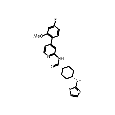 COc1cc(F)ccc1-c1ccnc(NC(=O)[C@H]2CC[C@@H](Nc3nccs3)CC2)c1